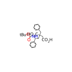 CC(C)(C)OC(=O)N[C@@H](CC(CC(=O)O)(Cc1ccccc1)C(=O)O)c1ccccc1